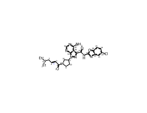 CCN(CC)C/C=C/C(=O)N1CCC(n2nc(C(=O)Nc3nc4cc(Cl)ccc4o3)c3c(N)ncnc32)C1